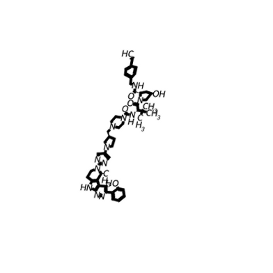 C#Cc1ccc(CNC(=O)[C@@H]2C[C@@H](O)CN2C(=O)[C@@H](NC(=O)N2CCN(C[C@H]3CCN(c4cnc(N5CCc6[nH]c7nnc(-c8ccccc8O)cc7c6[C@H]5C)nc4)C3)CC2)C(C)(C)C)cc1